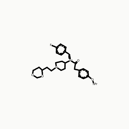 CCCOc1ccc(CC(=O)[N+](=Cc2ccc(F)cc2)C2CCN(CCC3CCOCO3)CC2)cc1